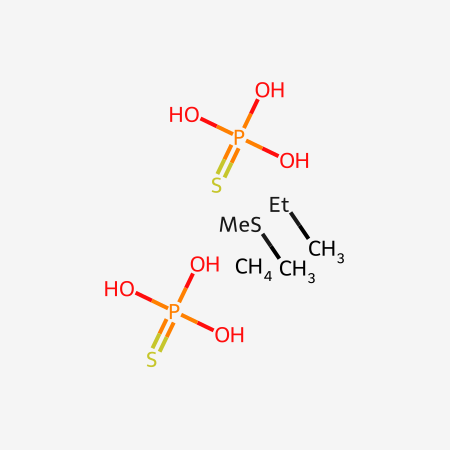 C.CCC.CSC.OP(O)(O)=S.OP(O)(O)=S